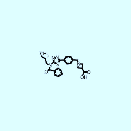 CCCCN(C(=O)c1ccccc1)c1nnc(-c2ccc(CN3CC(C(=O)O)C3)cc2)s1